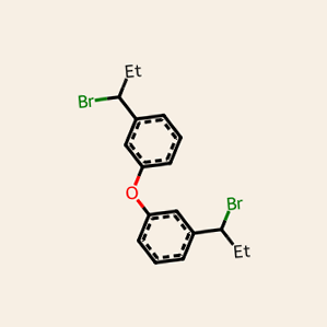 CCC(Br)c1cccc(Oc2cccc(C(Br)CC)c2)c1